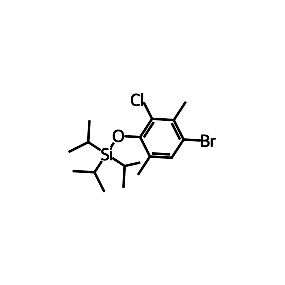 Cc1cc(Br)c(C)c(Cl)c1O[Si](C(C)C)(C(C)C)C(C)C